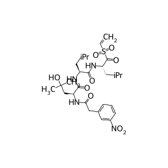 C=CS(=O)(=O)C(=O)[C@H](CC(C)C)NC(=O)[C@H](CC(C)C)NC(=O)[C@H](CC(C)(C)O)NC(=O)Cc1cccc([N+](=O)[O-])c1